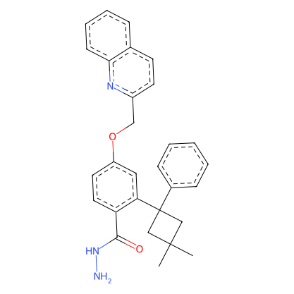 CC1(C)CC(c2ccccc2)(c2cc(OCc3ccc4ccccc4n3)ccc2C(=O)NN)C1